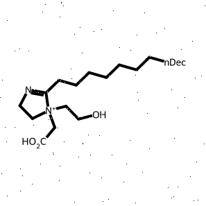 CCCCCCCCCCCCCCCCCC1=NCC[N+]1(CCO)CC(=O)O